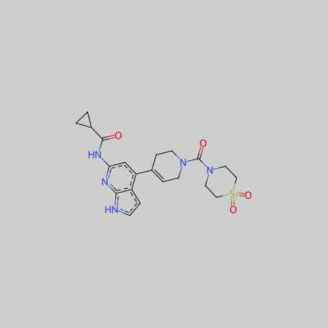 O=C(Nc1cc(C2=CCN(C(=O)N3CCS(=O)(=O)CC3)CC2)c2cc[nH]c2n1)C1CC1